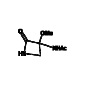 COC1(NC(C)=O)CNC1=O